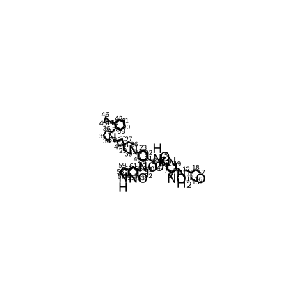 O=C(NS(=O)(=O)c1cc([N+](=O)[O-])c(NCC2CCOCC2)cn1)c1ccc(N2CCC3(CC2)CC(N2CCCC2c2ccccc2C2CC2)C3)cc1N1CCOc2nc3[nH]ccc3cc21